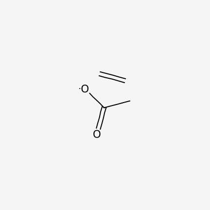 C=C.CC([O])=O